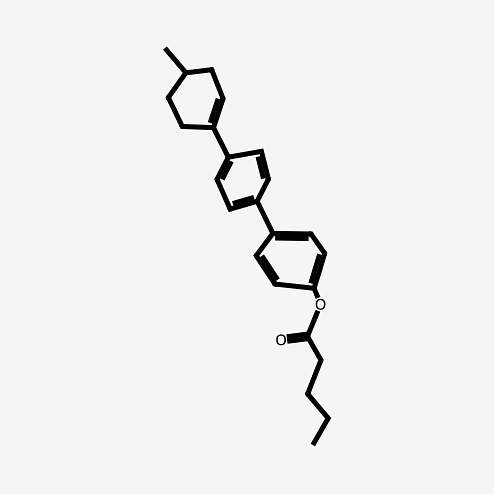 CCCCC(=O)Oc1ccc(-c2ccc(C3=CCC(C)CC3)cc2)cc1